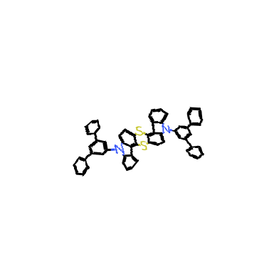 c1ccc(-c2cc(-c3ccccc3)cc(-n3c4ccccc4c4c5c(ccc43)Sc3c(ccc4c3c3ccccc3n4-c3cc(-c4ccccc4)cc(-c4ccccc4)c3)S5)c2)cc1